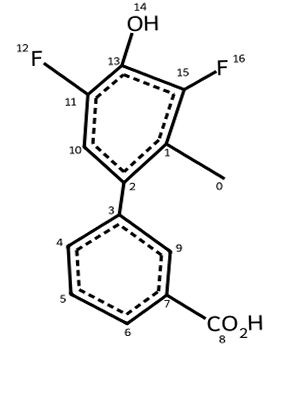 Cc1c(-c2cccc(C(=O)O)c2)cc(F)c(O)c1F